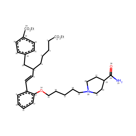 CCOC(=O)CCCCC(/C=C/c1ccccc1OCCCCCN1CCC(C(N)=O)CC1)Cc1ccc(C(=O)OCC)cc1